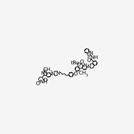 Cc1c(Oc2ccc(CCCCN3CCN(c4ccc5c(C6CCC(=O)NC6=O)nn(C)c5c4)CC3)cc2)cccc1-c1ccc(N2CCc3cccc(C(=O)Nc4nc5ccccc5s4)c3C2)nc1C(=O)OC(C)(C)C